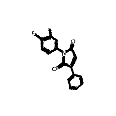 Cc1cc(N2C(=O)C=C(c3ccccc3)C2=O)ccc1F